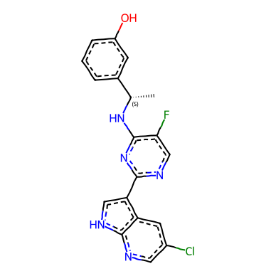 C[C@H](Nc1nc(-c2c[nH]c3ncc(Cl)cc23)ncc1F)c1cccc(O)c1